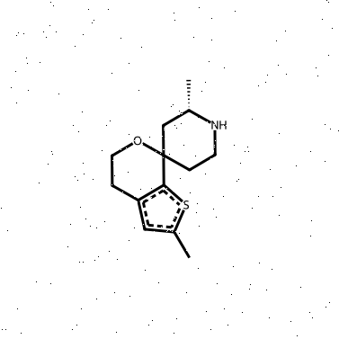 Cc1cc2c(s1)C1(CCN[C@@H](C)C1)OCC2